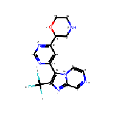 FC(F)(F)c1nc2cnccn2c1-c1cc(C2CNCCO2)ncn1